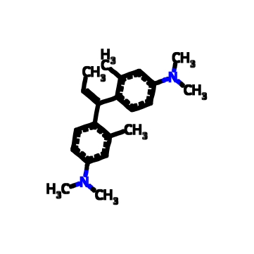 CC=C(c1ccc(N(C)C)cc1C)c1ccc(N(C)C)cc1C